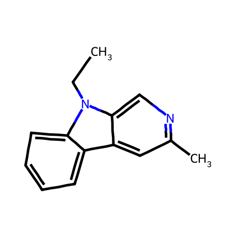 CCn1c2ccccc2c2cc(C)ncc21